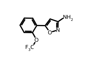 Nc1cc(-c2ccccc2OC(F)(F)F)on1